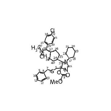 COC(=O)OC1(CSCc2ccccc2)N=CN(C2CCCCC2)C1C1CCC(C(c2ccc(Cl)cc2)N(C)C)CC1